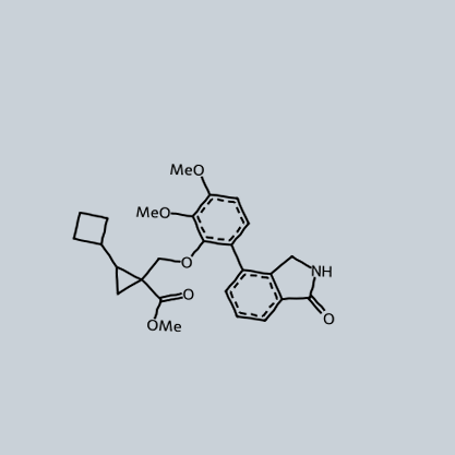 COC(=O)C1(COc2c(-c3cccc4c3CNC4=O)ccc(OC)c2OC)CC1C1CCC1